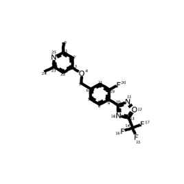 Cc1cc(OCc2ccc(-c3noc(C(F)(F)F)n3)c(F)c2)cc(C)n1